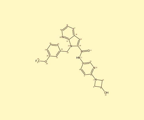 O=C(Nc1ccc(N2CC(O)C2)nc1)c1cc2cccnc2n1Cc1cccc(OC(F)(F)F)c1